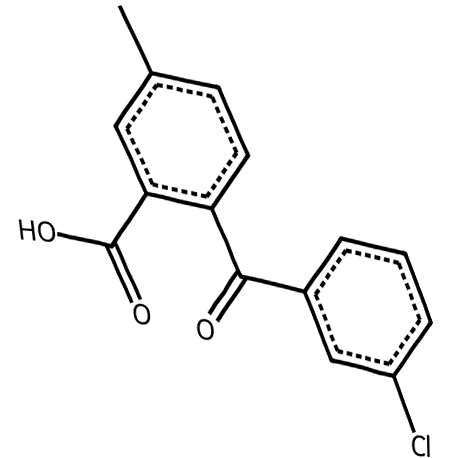 Cc1ccc(C(=O)c2cccc(Cl)c2)c(C(=O)O)c1